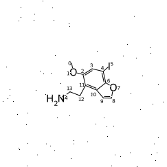 COc1cc(I)c2occc2c1CCN